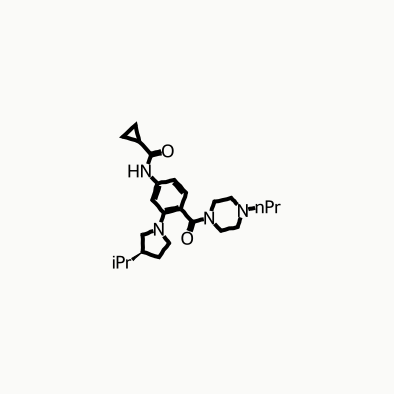 CCCN1CCN(C(=O)c2ccc(NC(=O)C3CC3)cc2N2CC[C@@H](C(C)C)C2)CC1